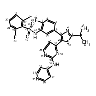 CC(C)c1nc(-c2ccc(F)c(NS(=O)(=O)c3c(F)cccc3F)c2)c(-c2ccnc(Nc3ccncc3)n2)s1